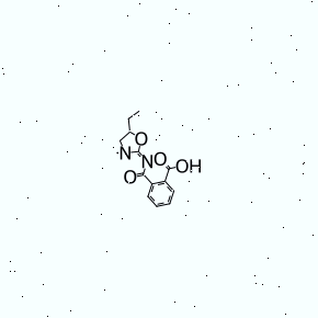 CCC1C[N]C(=NC(=O)c2ccccc2C(=O)O)O1